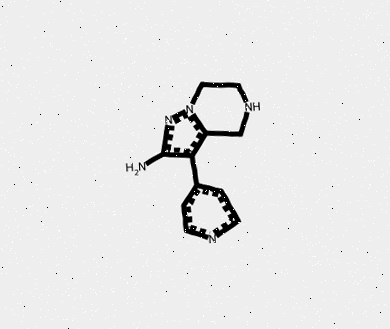 Nc1nn2c(c1-c1ccncc1)CNCC2